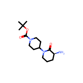 CC(C)(C)OC(=O)N1CCC(N2CCC[C@H](N)C2=O)CC1